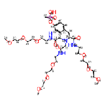 COCCOCCOCCNC(=O)CN(CC(=O)NCCOCCOCCOC)C(Cc1ccc(OP(C)(=O)O)cc1)C(=O)NCCOCCOCCOC